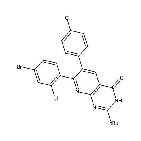 CC(C)(C)c1nc2nc(-c3ccc(Br)cc3Cl)c(-c3ccc(Cl)cc3)cc2c(=O)[nH]1